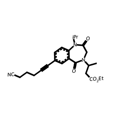 CCOC(=O)CC(C)N1CC(=O)N(C(C)C)c2ccc(C#CCCCC#N)cc2C1=O